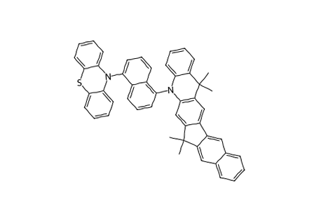 CC1(C)c2cc3c(cc2-c2cc4ccccc4cc21)C(C)(C)c1ccccc1N3c1cccc2c(N3c4ccccc4Sc4ccccc43)cccc12